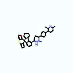 Cc1ccc(-c2ccc(C3=CC=C(c4cccc5c4-c4ccccc4C54c5ccccc5Sc5ccccc54)NN3C)cc2)c(C)n1